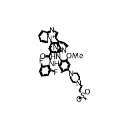 COc1cc(N2CCN(CCS(C)(=O)=O)CC2)c(C)cc1Nc1nccc(C2=CN=C3C=CC=C[N+]23c2cccc(C(=O)Nc3c(F)cccc3F)c2)n1